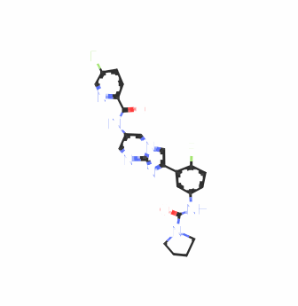 O=C(Nc1cnc2nc(-c3cc(NC(=O)N4CCCC4)ccc3F)cn2c1)c1ccc(F)cn1